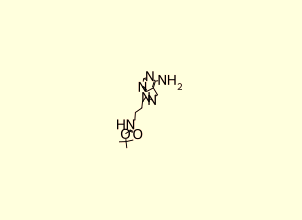 CC(C)(C)OC(=O)NCCCCn1ncc2c(N)ncnc21